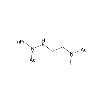 CCCN(BCCN(C)C(C)=O)C(C)=O